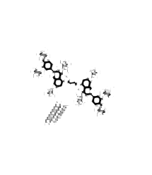 O=c1c(OS(=O)(=O)[O-])c(-c2ccc(OS(=O)(=O)[O-])c(OS(=O)(=O)[O-])c2)oc2cc(OS(=O)(=O)[O-])cc(OCCOc3cc(OS(=O)(=O)[O-])cc4oc(-c5ccc(OS(=O)(=O)[O-])c(OS(=O)(=O)[O-])c5)c(OS(=O)(=O)[O-])c(=O)c34)c12.[Na+].[Na+].[Na+].[Na+].[Na+].[Na+].[Na+].[Na+]